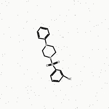 [C-]#[N+]c1cccc(S(=O)(=O)N2CCN(c3ccccc3)CC2)c1